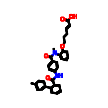 Cc1ccc(-c2ccccc2C(=O)Nc2ccc(C(=O)N(C)c3ccccc3OCCCC=CC(=O)O)cc2)cc1